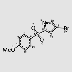 COc1ccc(S(=O)(=O)c2ncc(Br)s2)cc1